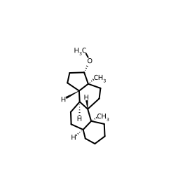 CO[C@H]1CC[C@H]2[C@@H]3CC[C@@H]4CCCC[C@]4(C)[C@H]3CC[C@]12C